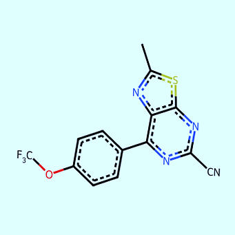 Cc1nc2c(-c3ccc(OC(F)(F)F)cc3)nc(C#N)nc2s1